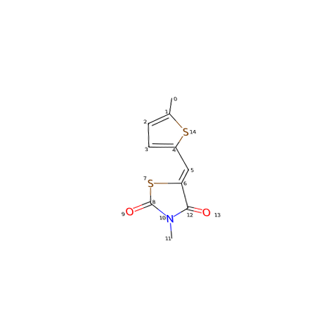 Cc1ccc(/C=C2\SC(=O)N(C)C2=O)s1